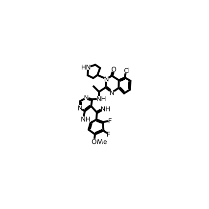 COc1ccc(C(=N)c2c(N)ncnc2NC(C)c2nc3cccc(Cl)c3c(=O)n2C2CCNCC2)c(F)c1F